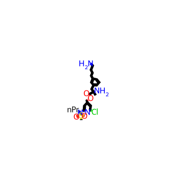 CCCN(c1cc(COC(=O)C(C)(N)Cc2cccc(CCCCN)c2)cc(Cl)n1)S(C)(=O)=O